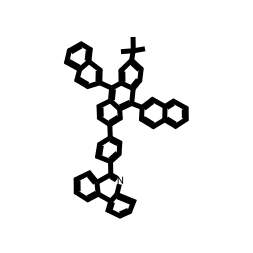 CC(C)(C)c1ccc2c(-c3ccc4ccccc4c3)c3cc(-c4ccc(-c5nc6ccccc6c6ccccc56)cc4)ccc3c(-c3ccc4ccccc4c3)c2c1